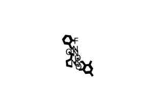 Cc1cc(C)c(CS(=O)(=O)N2CCCC2c2nnc(-c3ccccc3F)o2)c(C)c1